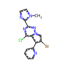 Cn1ccnc1-c1nc(Cl)c2c(-c3ccccn3)c(Br)cn2n1